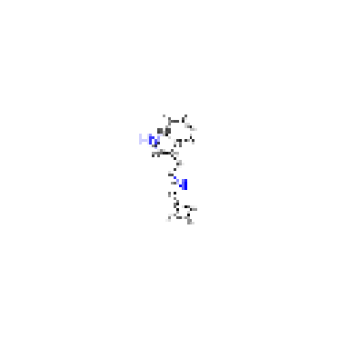 c1ccc2c(CCNCC3CCC3)c[nH]c2c1